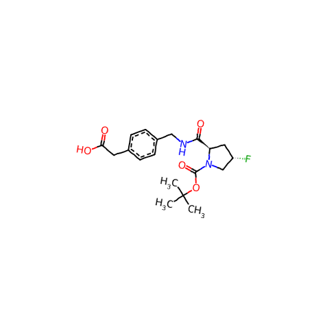 CC(C)(C)OC(=O)N1C[C@@H](F)C[C@@H]1C(=O)NCc1ccc(CC(=O)O)cc1